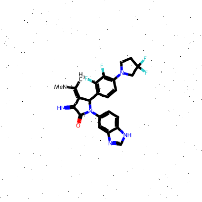 CN/C(C)=C1\C(=N)C(=O)N(c2ccc3[nH]cnc3c2)C1c1ccc(N2CCC(F)(F)C2)c(F)c1F